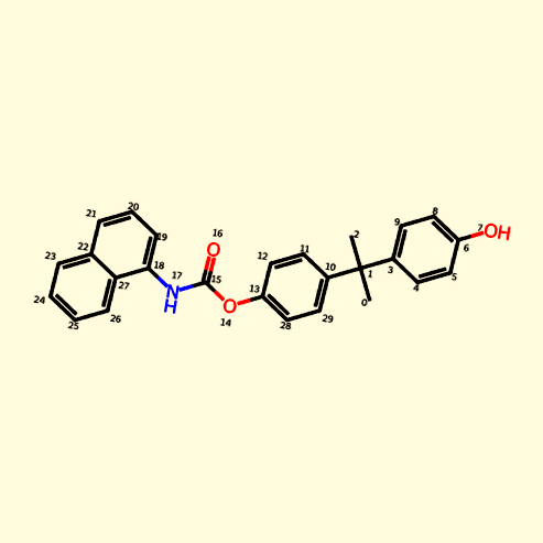 CC(C)(c1ccc(O)cc1)c1ccc(OC(=O)Nc2cccc3ccccc23)cc1